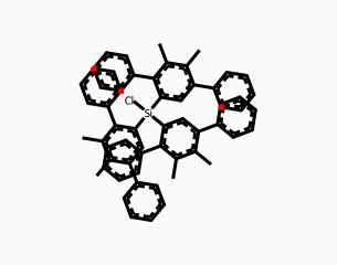 Cc1c(-c2ccccc2)cc([Si](Cl)(c2cc(-c3ccccc3)c(C)c(C)c2-c2ccccc2)c2cc(-c3ccccc3)c(C)c(C)c2-c2ccccc2)c(-c2ccccc2)c1C